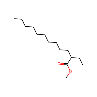 CCCCCCCCCCC(CC)C(=O)OC